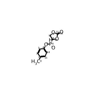 Cc1ccc(O[PH](=O)C2COC(=O)O2)cc1